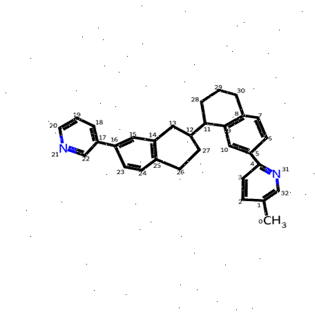 Cc1ccc(-c2ccc3c(c2)C(C2[C]c4cc(-c5cccnc5)ccc4CC2)CCC3)nc1